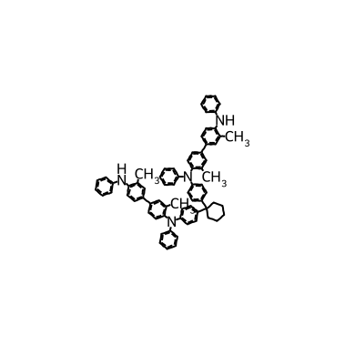 Cc1cc(-c2ccc(N(c3ccccc3)c3ccc(C4(c5ccc(N(c6ccccc6)c6ccc(-c7ccc(Nc8ccccc8)c(C)c7)cc6C)cc5)CCCCC4)cc3)c(C)c2)ccc1Nc1ccccc1